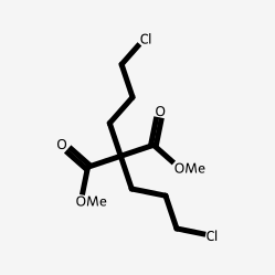 COC(=O)C(CCCCl)(CCCCl)C(=O)OC